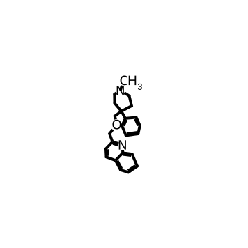 CN1CCC(COCc2ccc3ccccc3n2)(c2ccccc2)CC1